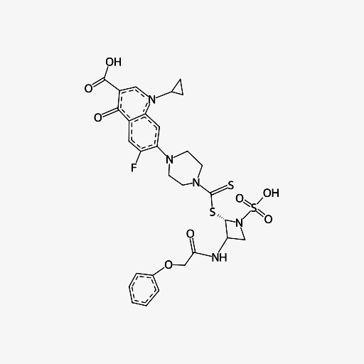 O=C(COc1ccccc1)NC1CN(S(=O)(=O)O)[C@H]1SC(=S)N1CCN(c2cc3c(cc2F)c(=O)c(C(=O)O)cn3C2CC2)CC1